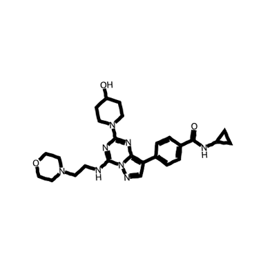 O=C(NC1CC1)c1ccc(-c2cnn3c(NCCN4CCOCC4)nc(N4CCC(O)CC4)nc23)cc1